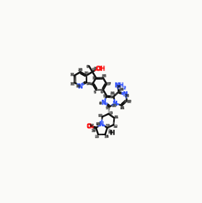 CC(O)(c1ccc(-c2nc([C@@H]3CC[C@H]4CCC(=O)N4C3)n3ccnc(N)c23)cc1)c1cccnc1